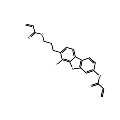 C=CC(=O)OCCCc1ccc2c(sc3cc(OC(=O)C=C)ccc32)c1F